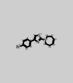 Brc1ccc(-c2csc(N3CCC=CCC3)n2)cc1